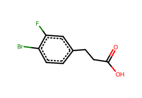 O=C(O)CCc1ccc(Br)c(F)c1